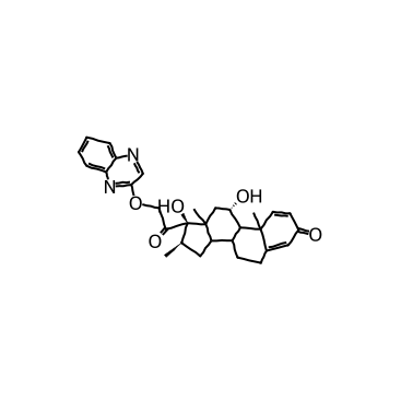 C[C@@H]1CC2C3CCC4=CC(=O)C=CC4(C)C3[C@@H](O)CC2(C)[C@@]1(O)C(=O)COc1cnc2ccccc2n1